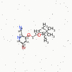 CC(C)(C)[Si](C)(C)OCCOc1cc(Br)cnc1C#N